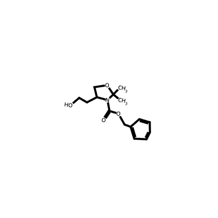 CC1(C)OCC(CCO)N1C(=O)OCc1ccccc1